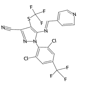 N#Cc1nn(-c2c(Cl)cc(C(F)(F)F)cc2Cl)c(N=Cc2ccncc2)c1SC(F)(F)F